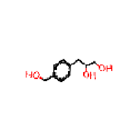 OCc1ccc(CC(O)CO)cc1